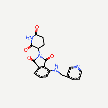 O=C1CCC(N2C(=O)c3cccc(NCc4cccnc4)c3C2=O)C(=O)N1